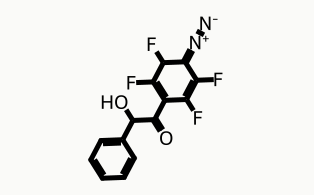 [N-]=[N+]=C1C(F)=C(F)C(C(=O)C(O)c2ccccc2)=C(F)C1F